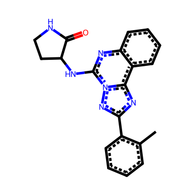 Cc1ccccc1-c1nc2c3ccccc3nc(NC3CCNC3=O)n2n1